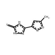 Cc1cc(-c2n[nH]c(=S)[nH]2)no1